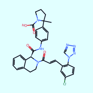 CC1(c2ccc(NC(=O)[C@@H]3c4ccccc4CCN3C(=O)C=Cc3cc(Cl)ccc3-n3cnnn3)cc2)CCCN1C(=O)O